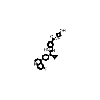 O=C(NC1CC(O)C1)c1ccc2[nH]c(C(C3CC3)[C@H]3CC[C@@H](c4ccnc5ccc(F)cc54)CC3)nc2c1